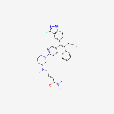 CN(C)C(=O)C=CCN(C)C1CCCN(c2ccc(/C(=C(/CC(F)(F)F)c3ccccc3)c3ccc4[nH]nc(F)c4c3)cn2)C1